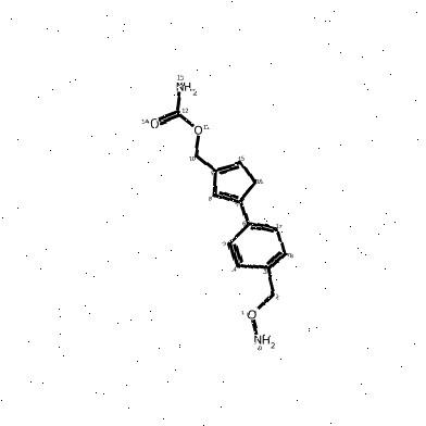 NOCc1ccc(C2=CC(COC(N)=O)=CC2)cc1